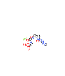 COc1nc(-c2cccc(-c3cccc(-c4nc5cc(CN6CCC[C@H]6C(=O)O)c(OC(F)F)cc5o4)c3C)c2C)cnc1CN1CCCC1